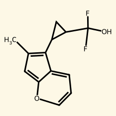 Cc1cc2occcc-2c1C1CC1C(O)(F)F